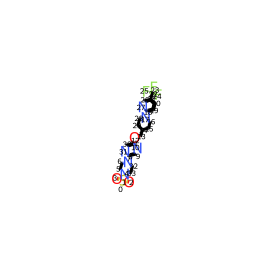 CS(=O)(=O)N1CCN(c2cnc(OCC3CCN(c4ccc(C(F)(F)F)cn4)CC3)cn2)CC1